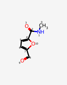 CNC(=O)c1ccc(C=O)o1